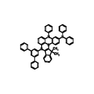 CC1(C)C2=C(c3ccccc31)N(c1cc(-c3ccccc3)cc(-c3ccccc3)c1)c1cccc3c1B2c1ccc(N(c2ccccc2)c2ccccc2)cc1N3c1ccccc1